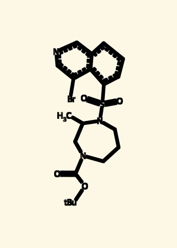 CC1CN(C(=O)OC(C)(C)C)CCCN1S(=O)(=O)c1cccc2cncc(Br)c12